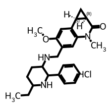 CCC1CCC(NCc2cc3c(cc2OC)[C@H]2C[C@H]2C(=O)N3C)C(c2ccccc2)N1.Cl